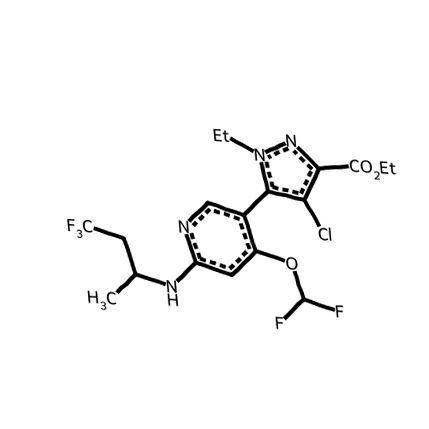 CCOC(=O)c1nn(CC)c(-c2cnc(NC(C)CC(F)(F)F)cc2OC(F)F)c1Cl